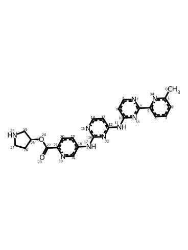 Cc1cccc(-c2nccc(Nc3ccnc(Nc4ccc(C(=O)O[C@H]5CCNC5)nc4)n3)n2)n1